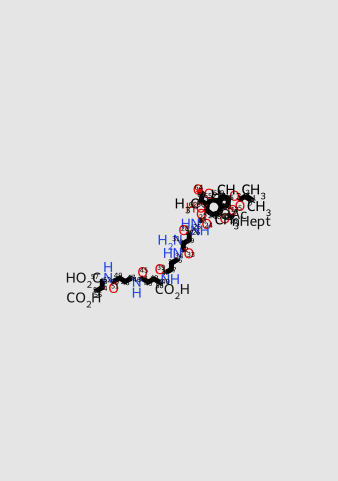 C/C=C(/C)C(=O)O[C@H]1C(C)=C2[C@H]([C@@H]1OC(=O)CCCCCCC)[C@@](C)(OC(C)=O)C[C@H](OC(=O)NNC(=O)C[C@H](N)C(=O)NCCCC(=O)N[C@@H](CCC(=O)NCCCC(=O)N[C@@H](CCC(=O)O)C(=O)O)C(=O)O)[C@]1(O)[C@@H](C)C(=O)O[C@@H]21